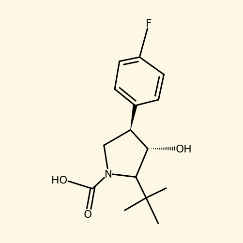 CC(C)(C)C1[C@@H](O)[C@H](c2ccc(F)cc2)CN1C(=O)O